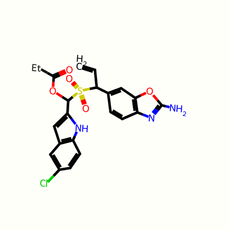 C=CC(c1ccc2nc(N)oc2c1)S(=O)(=O)C(OC(=O)CC)c1cc2cc(Cl)ccc2[nH]1